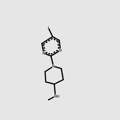 CNC1CCN(c2ncc(I)cn2)CC1